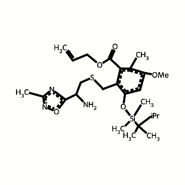 C=CCOC(=O)c1c(C)c(OC)cc(O[Si](C)(C)C(C)(C)C(C)C)c1CSCC(N)c1nc(C)no1